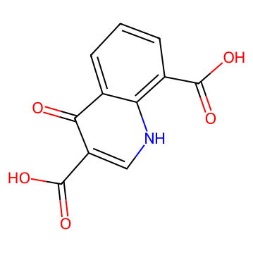 O=C(O)c1c[nH]c2c(C(=O)O)cccc2c1=O